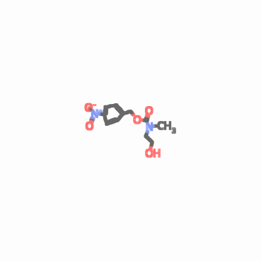 CN(CCO)C(=O)OCc1ccc([N+](=O)[O-])cc1